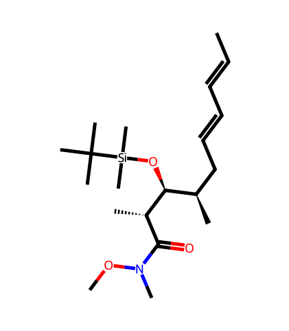 C/C=C/C=C/C[C@@H](C)[C@H](O[Si](C)(C)C(C)(C)C)[C@@H](C)C(=O)N(C)OC